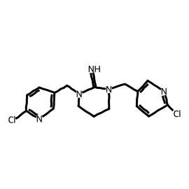 N=C1N(Cc2ccc(Cl)nc2)CCCN1Cc1ccc(Cl)nc1